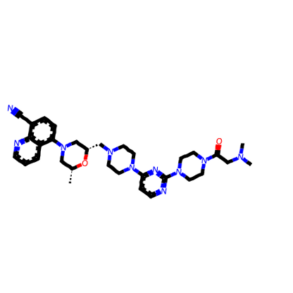 C[C@@H]1CN(c2ccc(C#N)c3ncccc23)C[C@H](CN2CCN(c3ccnc(N4CCN(C(=O)CN(C)C)CC4)n3)CC2)O1